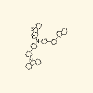 c1cc(-c2ccc(N(c3ccc(-c4cccc(-n5c6ccccc6c6ccccc65)c4)cc3)c3ccc4sc5ccccc5c4c3)cc2)cc(-c2ccc3ccccc3c2)c1